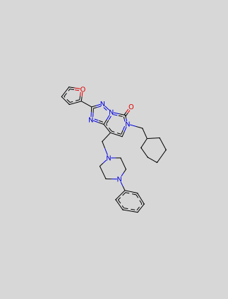 O=c1n(CC2CCCCC2)cc(CN2CCN(c3ccccc3)CC2)c2nc(-c3ccco3)nn12